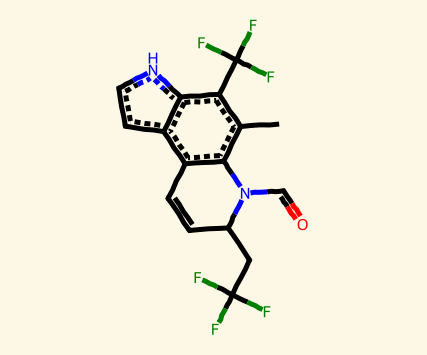 Cc1c2c(c3cc[nH]c3c1C(F)(F)F)C=CC(CC(F)(F)F)N2C=O